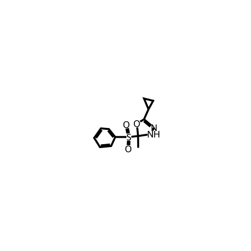 CC1(S(=O)(=O)c2ccccc2)NN=C(C2CC2)O1